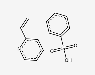 C=Cc1ccccn1.O=S(=O)(O)c1ccccc1